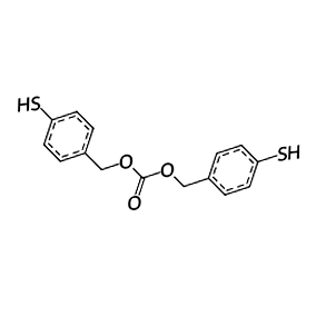 O=C(OCc1ccc(S)cc1)OCc1ccc(S)cc1